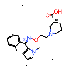 Cc1ccccc1/C(=N/OCCN1CCC[C@@H](C(=O)O)C1)c1cccn1C